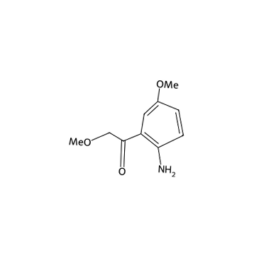 COCC(=O)c1cc(OC)ccc1N